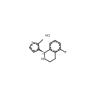 Cc1sccc1[C@@H]1NCCc2c(F)cccc21.Cl